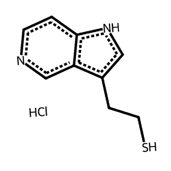 Cl.SCCc1c[nH]c2ccncc12